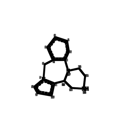 c1ccc2c(c1)Cn1cccc1C1CNCCN21